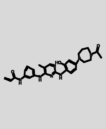 C=CC(=O)Nc1cccc(Nc2nc(Nc3ccc(N4CCCN(C(C)=O)CC4)cc3O)ncc2C)c1